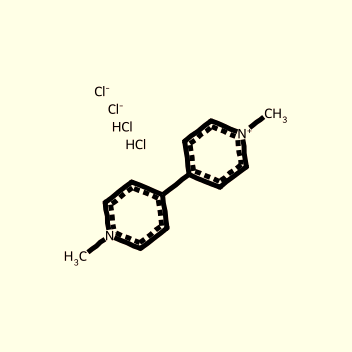 C[n+]1ccc(-c2cc[n+](C)cc2)cc1.Cl.Cl.[Cl-].[Cl-]